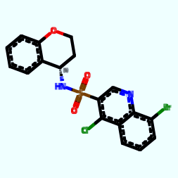 O=S(=O)(N[C@H]1CCOc2ccccc21)c1cnc2c(Br)cccc2c1Cl